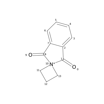 O=C1c2ccccc2C(=O)[N+]12CCC2